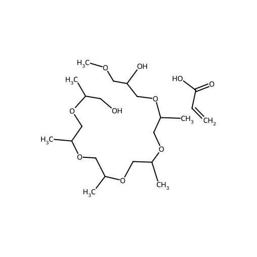 C=CC(=O)O.COCC(O)COC(C)COC(C)COC(C)COC(C)COC(C)CO